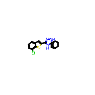 Clc1cccc2cc(C3=NN[C@@]4(CC5CCC4CC5)N3)sc12